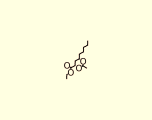 CCCCCC(CCC(=O)OCC)OC(C)=O